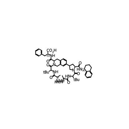 CN[C@@H](C)C(=O)NC(C(=O)N1Cc2cc(C3CC(C(=O)N[C@@H]4CCCc5ccccc54)N(C(=O)C(NC(=O)[C@H](C)NC)C(C)(C)C)C3)ccc2CC1C(=O)N[C@@H](Cc1ccccc1)C(=O)O)C(C)(C)C